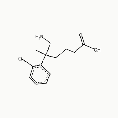 CC(CN)(CCCC(=O)O)c1ccccc1Cl